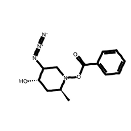 C[C@H]1C[C@H](O)C(N=[N+]=[N-])CN1OC(=O)c1ccccc1